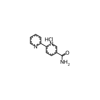 Cl.NC(=O)c1ccc(-c2ccccn2)nc1